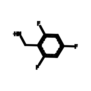 [NH]Cc1c(F)cc(F)cc1F